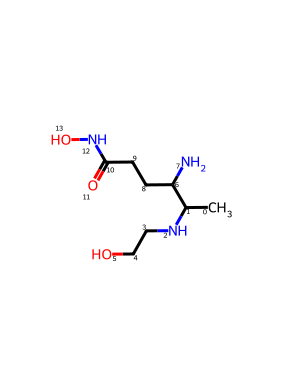 CC(NCCO)C(N)CCC(=O)NO